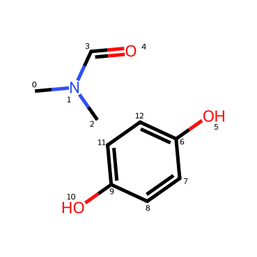 CN(C)C=O.Oc1ccc(O)cc1